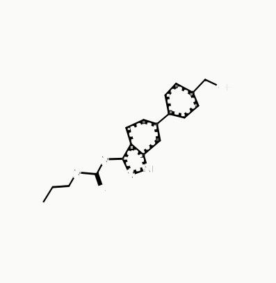 CCCNC(=O)Nc1n[nH]c2cc(-c3ccc(CO)cc3)ccc12